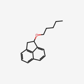 CCCCCOC1Cc2cccc3cccc1c23